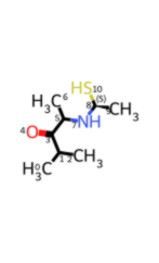 CC(C)C(=O)C(C)N[C@H](C)S